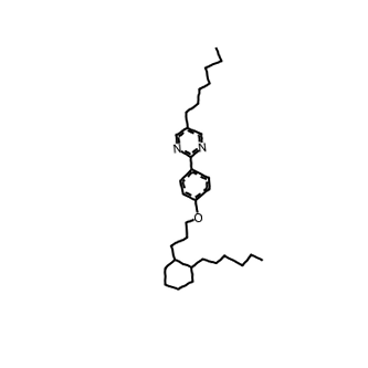 CCCCCCCc1cnc(-c2ccc(OCCCC3CCCCC3CCCCCC)cc2)nc1